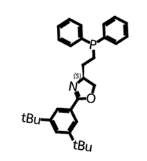 CC(C)(C)c1cc(C2=N[C@@H](CCP(c3ccccc3)c3ccccc3)CO2)cc(C(C)(C)C)c1